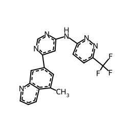 Cc1cc(-c2cc(Nc3ccc(C(F)(F)F)nn3)ncn2)cc2ncccc12